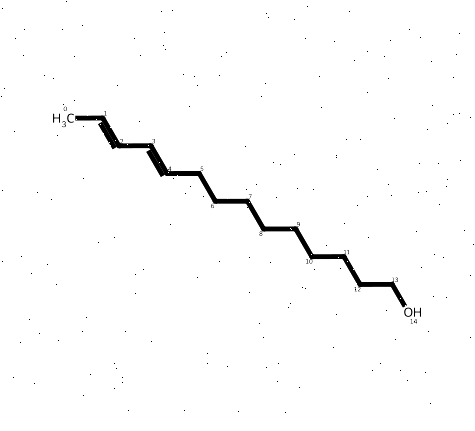 CC=C/C=C/CCCCCCCCCO